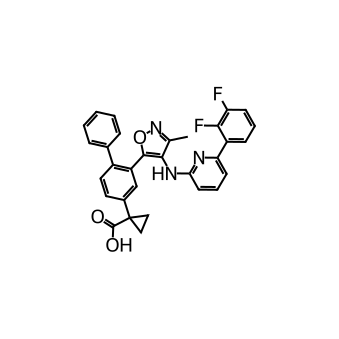 Cc1noc(-c2cc(C3(C(=O)O)CC3)ccc2-c2ccccc2)c1Nc1cccc(-c2cccc(F)c2F)n1